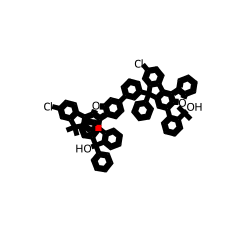 CC(C)(O)c1ccccc1-c1cc2c(c3c1oc1ccccc13)-c1ccc(Cl)cc1C2(c1ccccc1)c1cccc(-c2ccc3c(c2)oc2c4c(cc(-c5ccccc5C(O)(c5ccccc5)c5ccccc5)c23)C(C)(C)c2cc(Cl)ccc2-4)c1